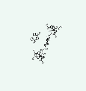 CC(=O)OC(C)=O.CCO[Si](CCCSSSSCCC[Si](OCC)(OCC)OCC)(OCC)OCC